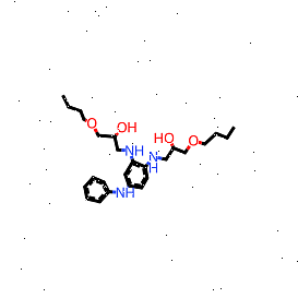 CCCCOCC(O)CNc1ccc(Nc2ccccc2)cc1NCC(O)COCCCC